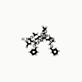 CC(C)C[C@H](NC(=O)[C@H](Cc1cncn1COCc1ccccc1)NC(=O)OC(C)(C)C)C(O)CN(C(=O)OCc1ccccc1)[C@@H](CC(C)C)C(N)=O